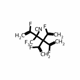 C=C(F)C(C(=C)F)(C(=C)F)C(C#N)(C(=C)F)C(F)(F)F